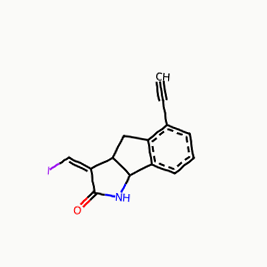 C#Cc1cccc2c1CC1/C(=C/I)C(=O)NC21